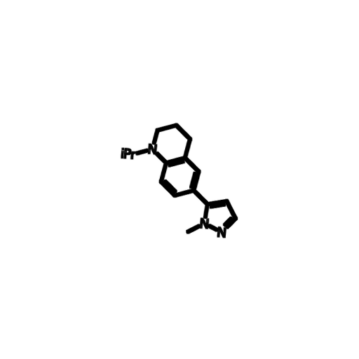 CC(C)N1CCCc2cc(-c3ccnn3C)ccc21